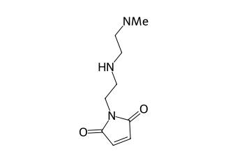 CNCCNCCN1C(=O)C=CC1=O